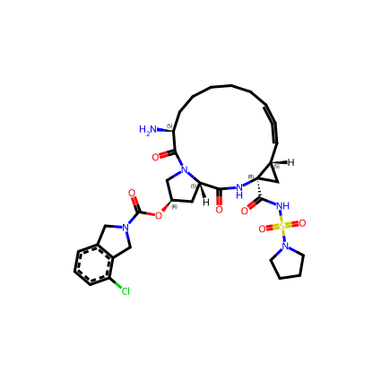 N[C@H]1CCCCCC=C=C[C@@H]2C[C@@]2(C(=O)NS(=O)(=O)N2CCCC2)NC(=O)[C@@H]2C[C@@H](OC(=O)N3Cc4cccc(Cl)c4C3)CN2C1=O